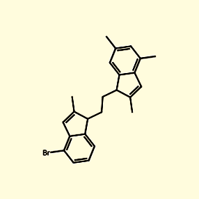 CC1=Cc2c(C)cc(C)cc2C1CCC1C(C)=Cc2c(Br)cccc21